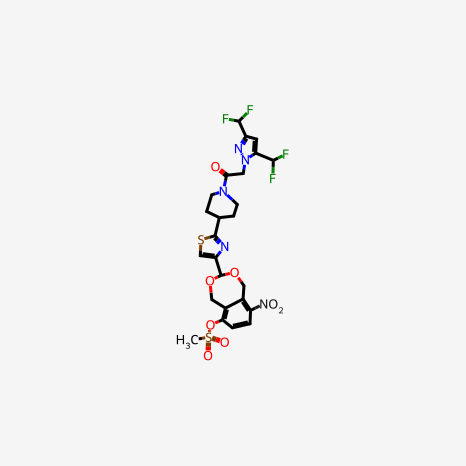 CS(=O)(=O)Oc1ccc([N+](=O)[O-])c2c1COC(c1csc(C3CCN(C(=O)Cn4nc(C(F)F)cc4C(F)F)CC3)n1)OC2